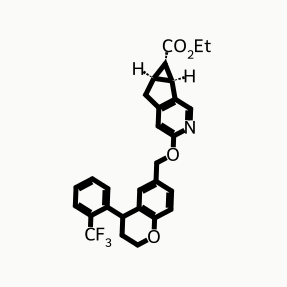 CCOC(=O)[C@H]1[C@@H]2Cc3cc(OCc4ccc5c(c4)C(c4ccccc4C(F)(F)F)CCO5)ncc3[C@@H]21